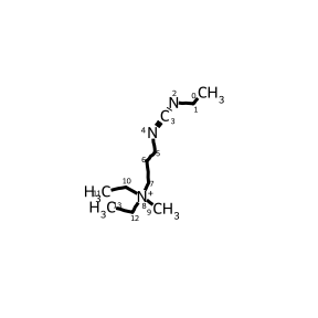 CCN=C=NCCC[N+](C)(CC)CC